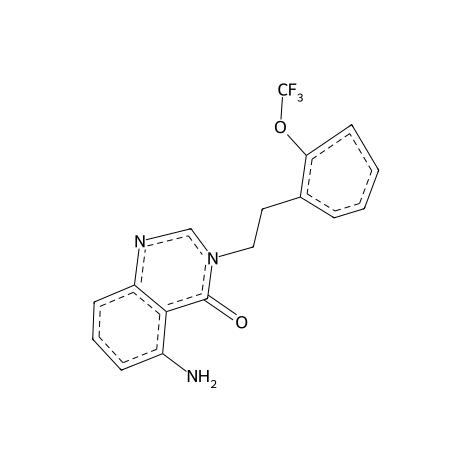 Nc1cccc2ncn(CCc3ccccc3OC(F)(F)F)c(=O)c12